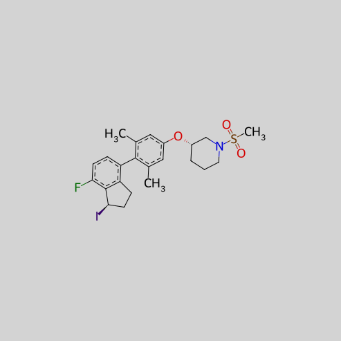 Cc1cc(O[C@H]2CCCN(S(C)(=O)=O)C2)cc(C)c1-c1ccc(F)c2c1CC[C@H]2I